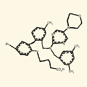 Cc1cc(CN(Cc2cc(C)ccc2-c2cc(C(C)C)ccc2OCCCC(=O)O)c2ncc(N3CCOCC3)cn2)cc(C(F)(F)F)c1